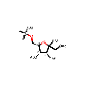 COC1(COC(C)=O)O[C@H](CO[Si](C)(C)C(C)(C)C)[C@@H](OC(C)=O)[C@@H]1OC(C)=O